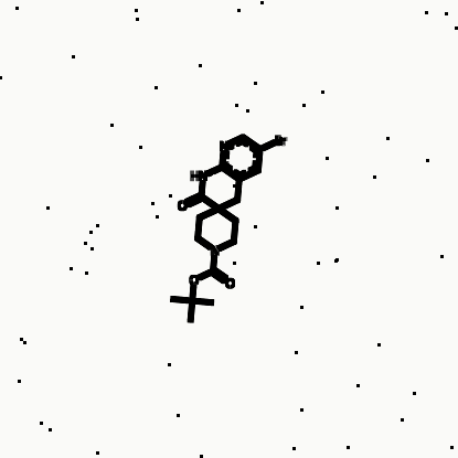 CC(C)(C)OC(=O)N1CCC2(CC1)Cc1cc(Br)cnc1NC2=O